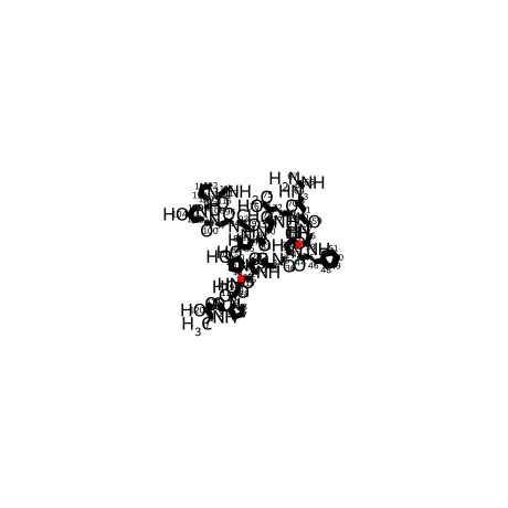 C[C@H](NC(=O)[C@@H]1CCCN1C(=O)CNC(=O)[C@@H]1C[C@@H](O)CN1C(=O)[C@H](CCC(=O)O)NC(=O)CNC(=O)[C@@H]1C[C@@H](O)CN1C(=O)[C@H](Cc1ccccc1)NC(=O)CNC(=O)[C@H](CCCNC(=N)N)NC(=O)[C@H](CCC(=O)O)NC(=O)CNC(=O)[C@@H]1C[C@@H](O)CN1C(=O)[C@H](C)NC(=O)CNC(=O)[C@@H]1C[C@@H](O)CN1C(=O)[C@@H]1CCCN1C(=O)CN)C(=O)O